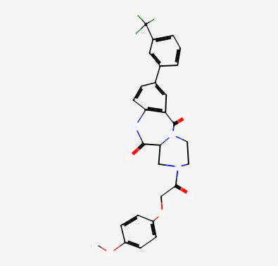 COc1ccc(OCC(=O)N2CCN3C(=O)c4cc(-c5cccc(C(F)(F)F)c5)ccc4NC(=O)C3C2)cc1